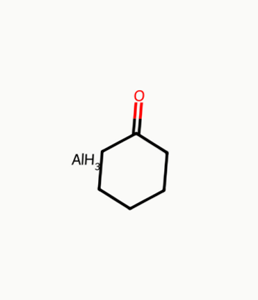 O=C1CCCCC1.[AlH3]